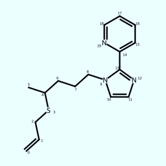 C=CCSC(C)CCCn1ccnc1-c1ccccn1